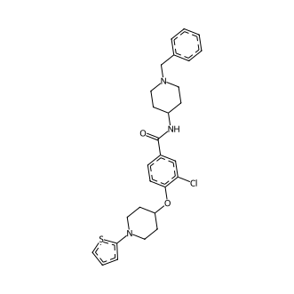 O=C(NC1CCN(Cc2ccccc2)CC1)c1ccc(OC2CCN(c3cccs3)CC2)c(Cl)c1